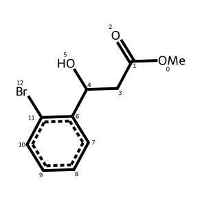 COC(=O)CC(O)c1ccccc1Br